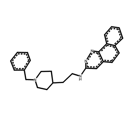 c1ccc(CN2CCC(CCNc3cc4ccc5ccccc5c4nn3)CC2)cc1